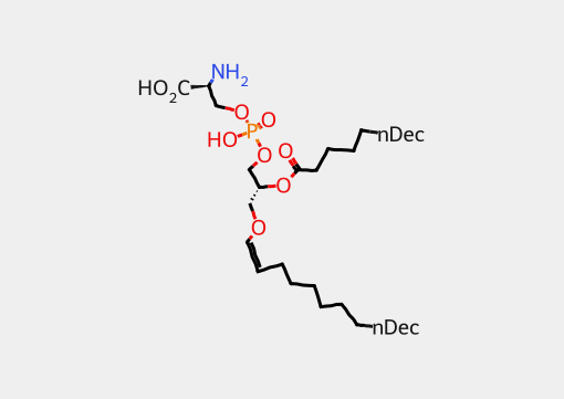 CCCCCCCCCCCCCCCC/C=C\OC[C@H](COP(=O)(O)OC[C@H](N)C(=O)O)OC(=O)CCCCCCCCCCCCCC